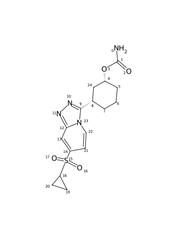 NC(=O)O[C@@H]1CCC[C@H](c2nnc3cc(S(=O)(=O)C4CC4)ccn23)C1